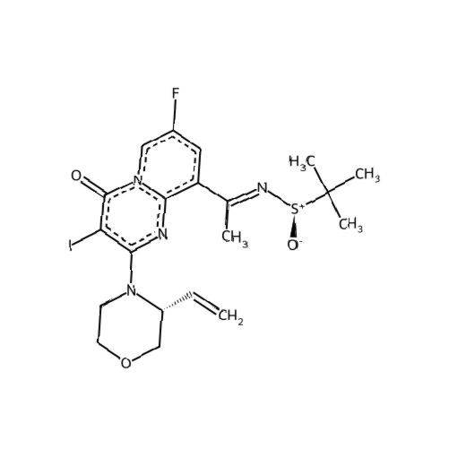 C=C[C@@H]1COCCN1c1nc2c(/C(C)=N/[S@+]([O-])C(C)(C)C)cc(F)cn2c(=O)c1I